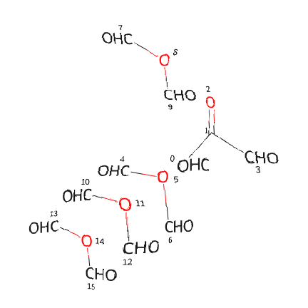 O=CC(=O)C=O.O=COC=O.O=COC=O.O=COC=O.O=COC=O